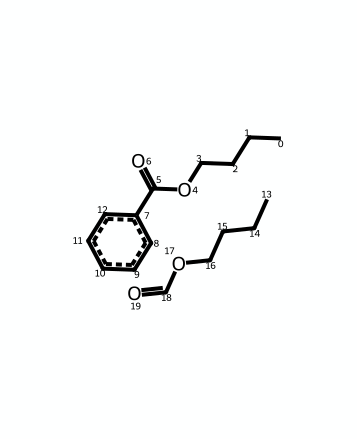 CCCCOC(=O)c1ccccc1.CCCCOC=O